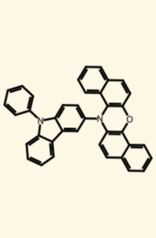 c1ccc(-n2c3ccccc3c3cc(N4c5ccc6ccccc6c5Oc5ccc6ccccc6c54)ccc32)cc1